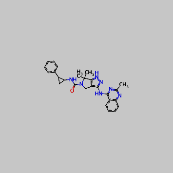 Cc1nc(Nc2n[nH]c3c2CN(C(=O)NC2CC2c2ccccc2)C3(C)C)c2ccccc2n1